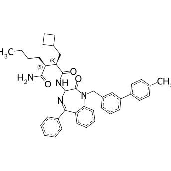 CCCC[C@H](C(N)=O)[C@@H](CC1CCC1)C(=O)NC1N=C(c2ccccc2)c2ccccc2N(Cc2cccc(-c3ccc(C)cc3)c2)C1=O